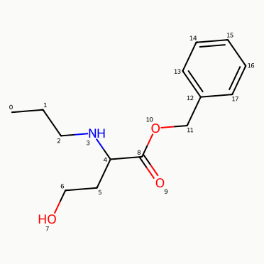 CCCNC(CCO)C(=O)OCc1ccccc1